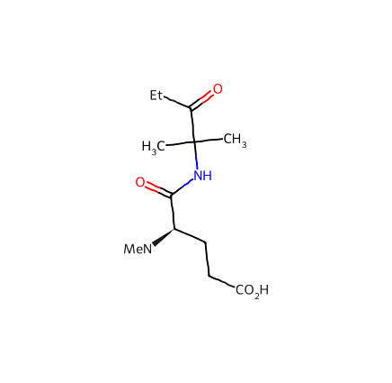 CCC(=O)C(C)(C)NC(=O)[C@@H](CCC(=O)O)NC